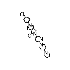 O=C1c2nn(-c3ccc(Cl)cc3)cc2CN1c1ccc(N2CCC(N3CCCC3)CC2)nc1